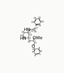 COC(COc1ccccc1)CC1CC(N[C@@H]2C[C@H]2c2ccccc2)CCN1